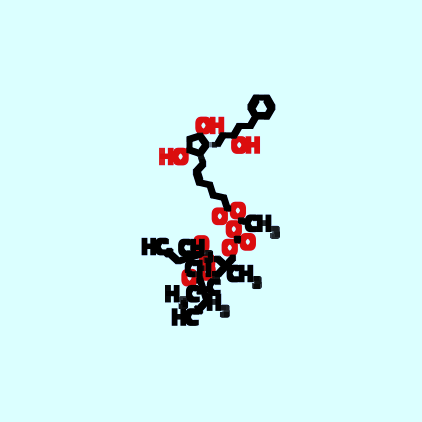 C#CCC(C)(C)C(=O)OCC(C)(COC(=O)OC(C)OC(=O)CCC/C=C\C[C@@H]1[C@@H](CCC(O)CCc2ccccc2)[C@H](O)C[C@@H]1O)COC(=O)C(C)(C)CC#C